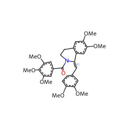 COc1ccc(/C=C2/c3cc(OC)c(OC)cc3CCN2C(=O)c2cc(OC)c(OC)c(OC)c2)cc1OC